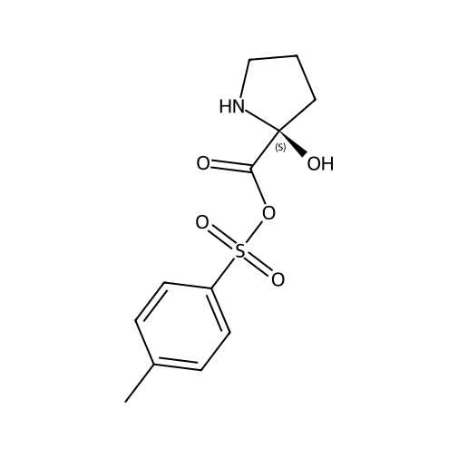 Cc1ccc(S(=O)(=O)OC(=O)[C@@]2(O)CCCN2)cc1